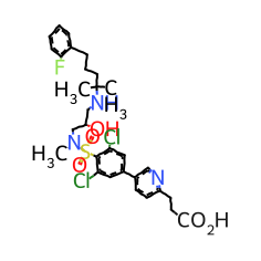 CN(C[C@H](O)CNC(C)(C)CCCc1ccccc1F)S(=O)(=O)c1c(Cl)cc(-c2ccc(CCC(=O)O)nc2)cc1Cl